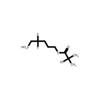 CCC(C)(C)C(=O)OCCCC(F)(F)CS(=O)(=O)O